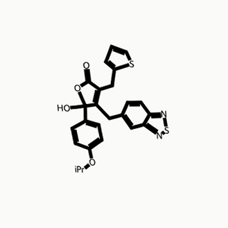 CC(C)Oc1ccc(C2(O)OC(=O)C(Cc3cccs3)=C2Cc2ccc3nsnc3c2)cc1